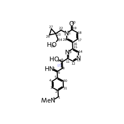 CNCc1ccc(C(=N)/C=C(\O)c2cncc(-c3ccc(=O)n(CC4(CO)CC4)c3)n2)cc1